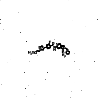 COCCn1cc(-c2ccc(C(=O)Nc3cc4[nH]c(CN5CCC[C@@H]5C)cc4cn3)c(F)c2)cn1